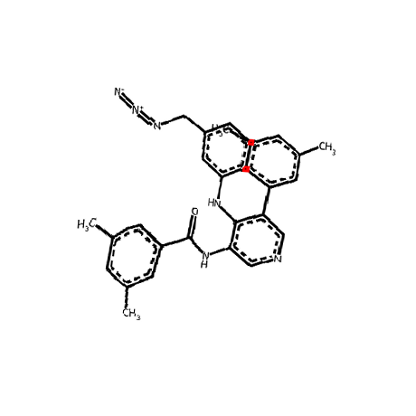 Cc1cc(C)cc(C(=O)Nc2cncc(-c3cc(C)cc(C)c3)c2Nc2cccc(CN=[N+]=[N-])c2)c1